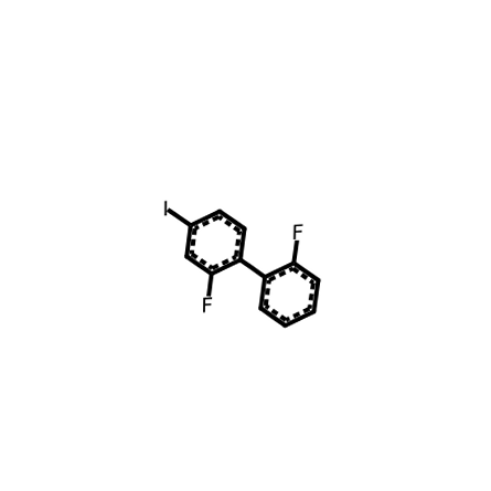 Fc1ccccc1-c1ccc(I)cc1F